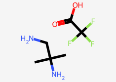 CC(C)(N)CN.O=C(O)C(F)(F)F